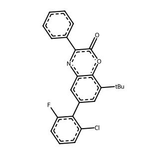 CC(C)(C)c1cc(-c2c(F)cccc2Cl)cc2nc(-c3ccccc3)c(=O)oc12